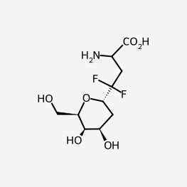 NC(CC(F)(F)[C@@H]1C[C@@H](O)[C@@H](O)[C@@H](CO)O1)C(=O)O